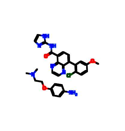 CN(C)CCOc1ccc(N)cc1.COc1ccc(Cl)c(-c2ccc(C(=O)Nc3ncc[nH]3)c3nccnc23)c1